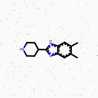 Cc1cc2nc(C3CCNCC3)[nH]c2cc1C